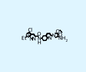 CCn1cc(Cl)c2cc(C(=O)NC3CCc4nc(N5CC(N)C6(C5)OCCO6)ccc4C3)nnc21